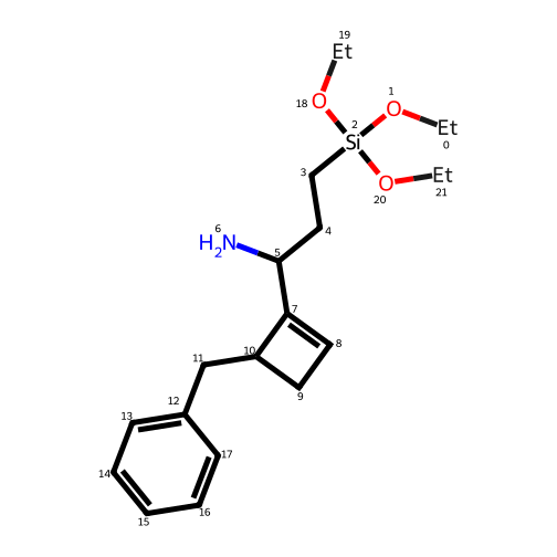 CCO[Si](CCC(N)C1=CCC1Cc1ccccc1)(OCC)OCC